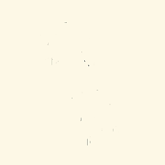 O=C(O)c1ccc(/C=N/c2cccc(Cl)c2Cl)cc1